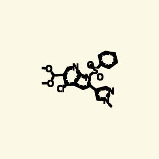 COC(OC)c1cnc2c(cc(-c3cnn(C)c3)n2S(=O)(=O)c2ccccc2)c1Cl